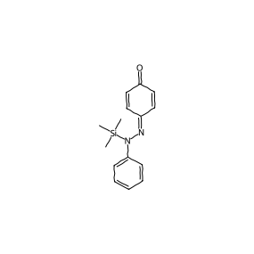 C[Si](C)(C)N(N=C1C=CC(=O)C=C1)c1ccccc1